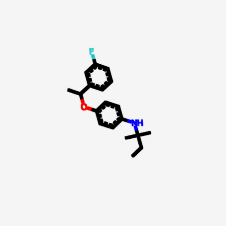 CCC(C)(C)Nc1ccc(OC(C)c2cccc(F)c2)cc1